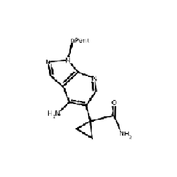 CCCCCn1ncc2c(N)c(C3(C(N)=O)CC3)cnc21